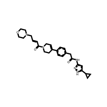 O=C(Cc1ccc(C2=CCN(C(=O)/C=C/CN3CCOCC3)CC2)cc1)Nc1cc(C2CC2)[nH]n1